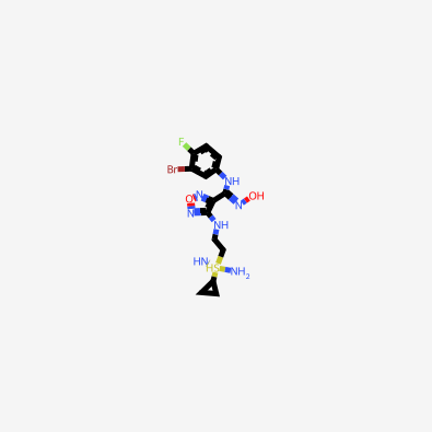 N=[SH](N)(CCNc1nonc1/C(=N/O)Nc1ccc(F)c(Br)c1)C1CC1